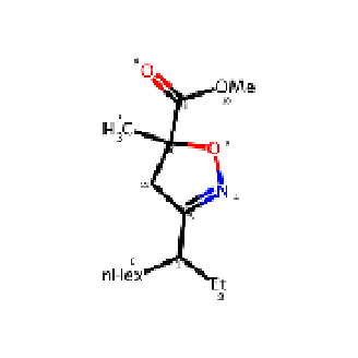 CCCCCCC(CC)C1=NOC(C)(C(=O)OC)C1